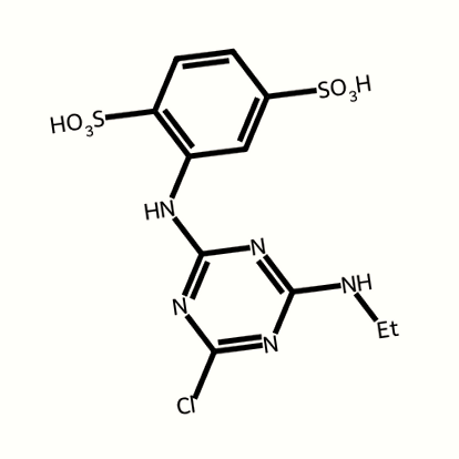 CCNc1nc(Cl)nc(Nc2cc(S(=O)(=O)O)ccc2S(=O)(=O)O)n1